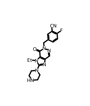 CCn1c(N2CCNCC2)nc2cnn(Cc3ccc(F)c(C#N)c3)c(=O)c21